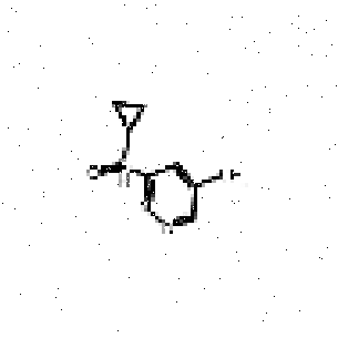 Cc1cnnc([PH](=O)C2CC2)c1